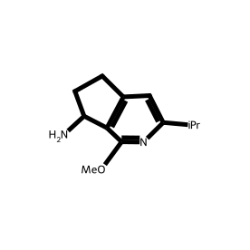 COc1nc(C(C)C)cc2c1C(N)CC2